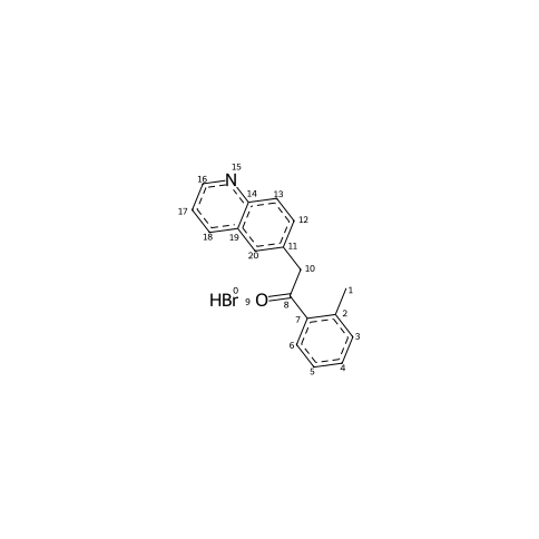 Br.Cc1ccccc1C(=O)Cc1ccc2ncccc2c1